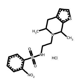 CC1Cc2ccsc2C(C)N1CCNS(=O)(=O)c1ccccc1[N+](=O)[O-].Cl